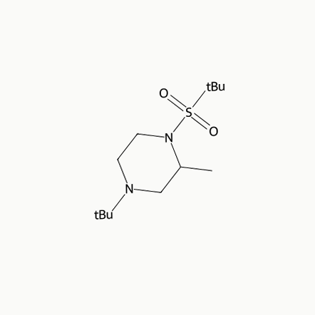 CC1CN(C(C)(C)C)CCN1S(=O)(=O)C(C)(C)C